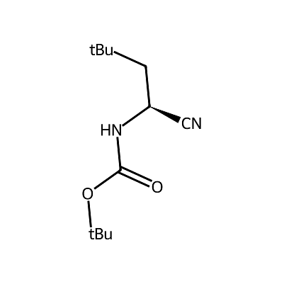 CC(C)(C)C[C@@H](C#N)NC(=O)OC(C)(C)C